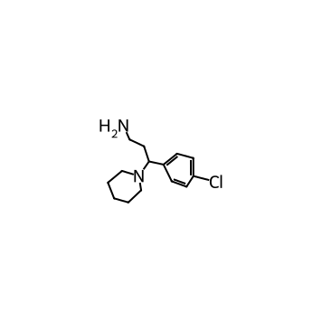 NCCC(c1ccc(Cl)cc1)N1CCCCC1